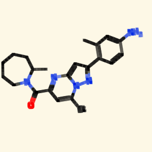 CCc1cc(C(=O)N2CCCCCC2C)nc2cc(-c3ccc(N)cc3C)nn12